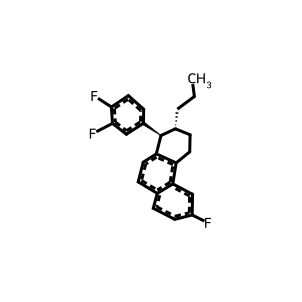 CCC[C@@H]1CCc2c(ccc3ccc(F)cc23)[C@H]1c1ccc(F)c(F)c1